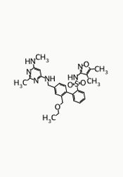 CCOCc1cc(CNc2cc(NC)nc(C)n2)ccc1-c1ccccc1S(=O)(=O)Nc1noc(C)c1C